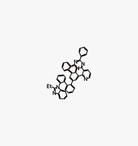 CCc1nc2ccccc2n1-c1ccccc1-c1ccccc1-c1cc(-c2ncccc2-c2nc(-c3ccccc3)nc(-c3ccccc3)n2)c2ccccc2c1